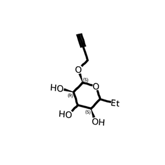 C#CCO[C@H]1OC(CC)[C@@H](O)C(O)[C@H]1O